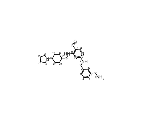 NCc1cccc(CNc2ncc(N=O)c(NCC3CCC(N4CCCC4)CC3)n2)c1